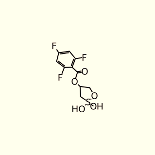 O=C(OC1COS(O)(O)C1)c1c(F)cc(F)cc1F